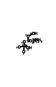 N.N.O=S(=O)(O)OO.[O-][I+3]([O-])([O-])O